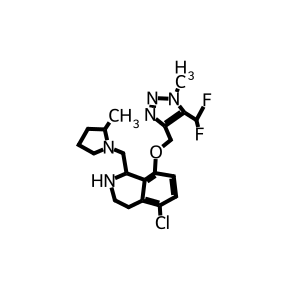 CC1CCCN1CC1NCCc2c(Cl)ccc(OCc3nnn(C)c3C(F)F)c21